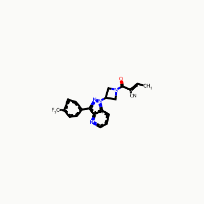 C/C=C(\C#N)C(=O)N1CC(n2nc(-c3ccc(C(F)(F)F)cc3)c3ncccc32)C1